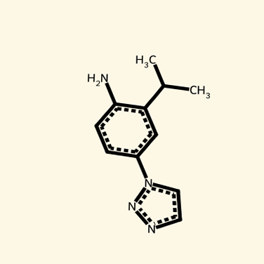 CC(C)c1cc(-n2ccnn2)ccc1N